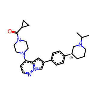 CC(C)N1CCC[C@@H](c2ccc(-c3cc4c(N5CCN(C(=O)C6CC6)CC5)ccnn4c3)cc2)C1